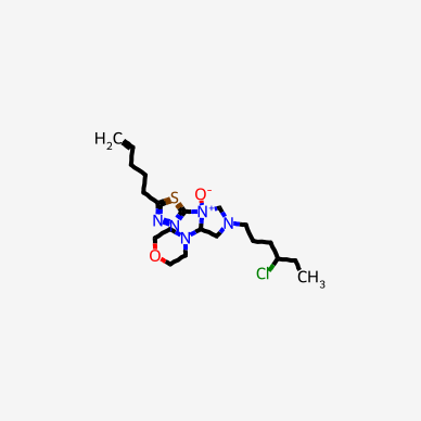 C=CCCCc1nnc([N+]2([O-])CN(CCCC(Cl)CC)CC2N2CCOCC2)s1